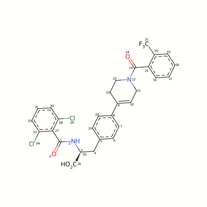 O=C(N[C@@H](Cc1ccc(C2=CCN(C(=O)c3ccccc3C(F)(F)F)CC2)cc1)C(=O)O)c1c(Cl)cccc1Cl